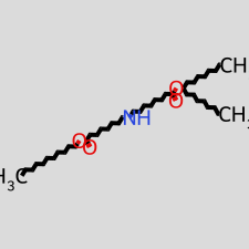 CCCCCCCCCCCOC(=O)CCCCCCCNCCCCCCCC(=O)OC(CCCCCCCC)CCCCCCCC